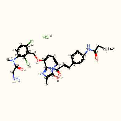 CC(=O)NCC(=O)Nc1ccc(C=CC(=O)[N+]23C=CC=C(OCc4c(Cl)ccc(N(C)C(=O)CN)c4Cl)C2=NC(C)=C3Br)cc1.Cl